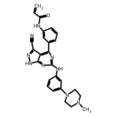 C=CC(=O)Nc1cccc(-c2nc(Nc3cccc(N4CCN(C)CC4)c3)nc3[nH]nc(C#N)c23)c1